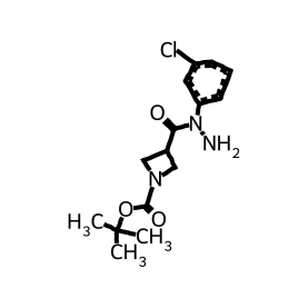 CC(C)(C)OC(=O)N1CC(C(=O)N(N)c2cccc(Cl)c2)C1